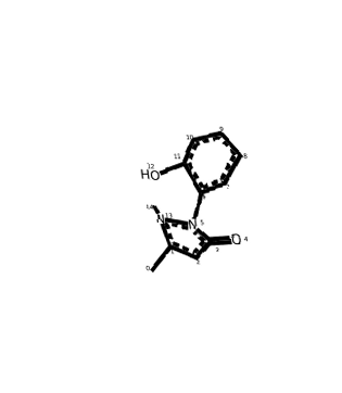 Cc1cc(=O)n(-c2ccccc2O)n1C